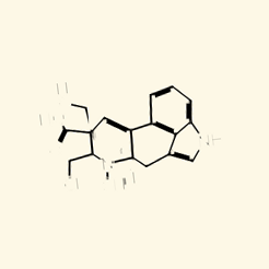 CCC1N(C)[C@@H]2Cc3c[nH]c4cccc(c34)C2=C[C@@]1(CC)C(=O)O